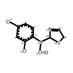 O=CN(c1ccc(Cl)cc1Cl)C1N=CCS1